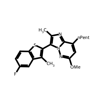 CCCCCc1cc(OC)nn2c(-c3sc4ccc(F)cc4c3C)c(C)nc12